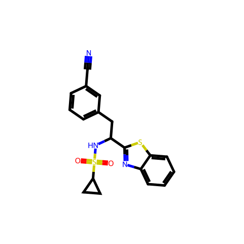 N#Cc1cccc(CC(NS(=O)(=O)C2CC2)c2nc3ccccc3s2)c1